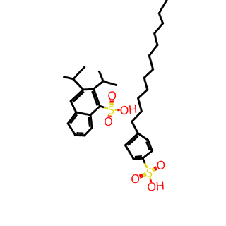 CC(C)c1cc2ccccc2c(S(=O)(=O)O)c1C(C)C.CCCCCCCCCCCCc1ccc(S(=O)(=O)O)cc1